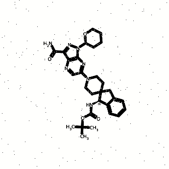 CC(C)(C)OC(=O)N[C@@H]1c2ccccc2CC12CCN(c1cnc3c(C(N)=O)nn(C4CCCCO4)c3n1)CC2